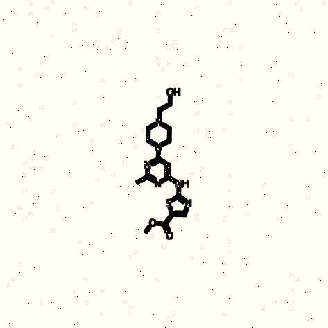 COC(=O)c1cnc(Nc2cc(N3CCN(CCO)CC3)nc(C)n2)s1